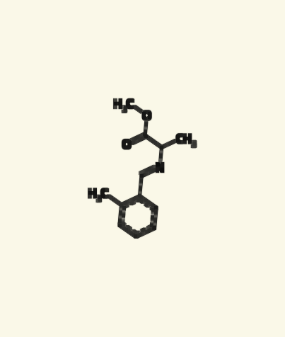 COC(=O)C(C)N=Cc1ccccc1C